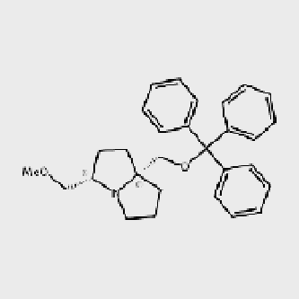 COC[C@@H]1CC[C@@]2(COC(c3ccccc3)(c3ccccc3)c3ccccc3)CCCN12